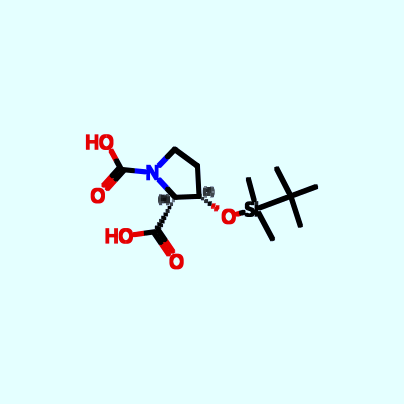 CC(C)(C)[Si](C)(C)O[C@H]1CCN(C(=O)O)[C@H]1C(=O)O